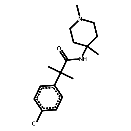 CN1CCC(C)(NC(=O)C(C)(C)c2ccc(Cl)cc2)CC1